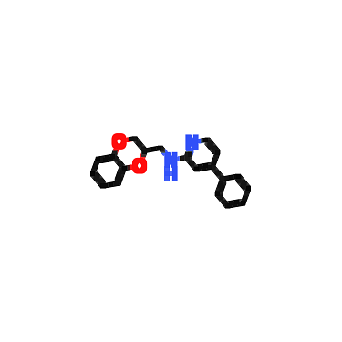 c1ccc(-c2ccnc(NCC3COc4ccccc4O3)c2)cc1